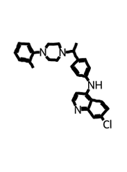 Cc1ccccc1N1CCN(C(C)c2ccc(Nc3ccnc4cc(Cl)ccc34)cc2)CC1